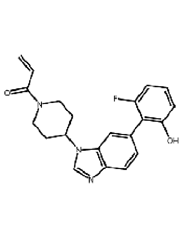 C=CC(=O)N1CCC(n2cnc3ccc(-c4c(O)cccc4F)cc32)CC1